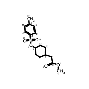 COC(=O)CC1CCC(OS(=O)(=O)c2ccc(C)cc2)CC1